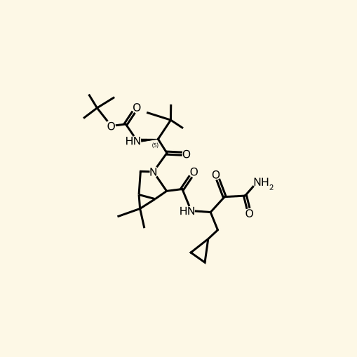 CC(C)(C)OC(=O)N[C@H](C(=O)N1CC2C(C1C(=O)NC(CC1CC1)C(=O)C(N)=O)C2(C)C)C(C)(C)C